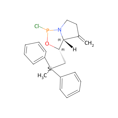 C=C1CCN2[C@H]1[C@H](C[Si](C)(c1ccccc1)c1ccccc1)OP2Cl